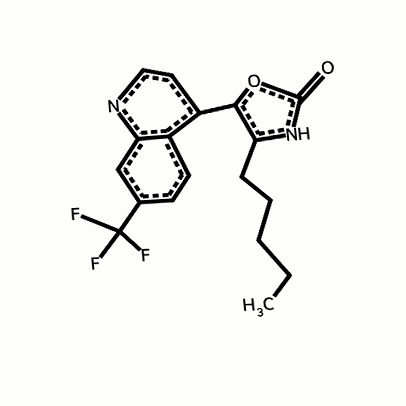 CCCCCc1[nH]c(=O)oc1-c1ccnc2cc(C(F)(F)F)ccc12